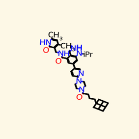 Cc1cc(C)c(CNC(=O)c2cc(-c3ccc(N4CCN(C(=O)CCCC56CC7CC8CC(C5)C876)CC4)nc3)cc(NC(C)C)c2C=N)c(=O)[nH]1